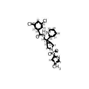 Cn1cnc(S(=O)(=O)N2CC3C(C2)C3(CNC(=O)c2cc(Cl)cc(Cl)c2)c2ccccn2)c1